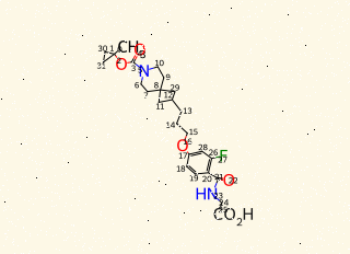 CC1(OC(=O)N2CCC3(CC2)CC(CCCOc2ccc(C(=O)NCC(=O)O)c(F)c2)C3)CC1